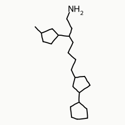 CC1CCC(C(CCN)CCCCC2CCC(C3CCCCC3)C2)C1